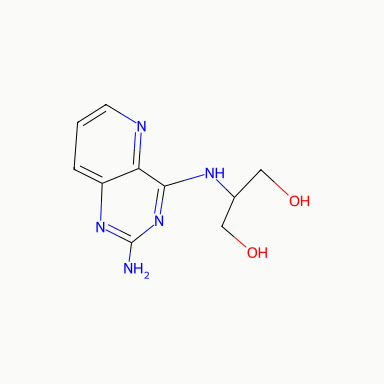 Nc1nc(NC(CO)CO)c2ncccc2n1